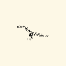 CCCCCCCCCCCCCOCCO[Si](CCCS)(OCC)OCCOCCCCCCCCCCCCC